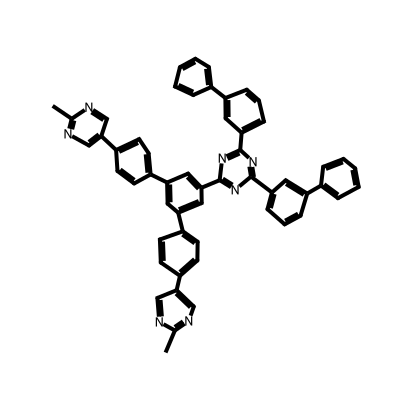 Cc1ncc(-c2ccc(-c3cc(-c4ccc(-c5cnc(C)nc5)cc4)cc(-c4nc(-c5cccc(-c6ccccc6)c5)nc(-c5cccc(-c6ccccc6)c5)n4)c3)cc2)cn1